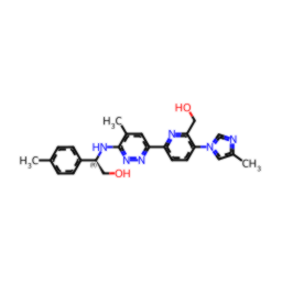 Cc1ccc([C@H](CO)Nc2nnc(-c3ccc(-n4cnc(C)c4)c(CO)n3)cc2C)cc1